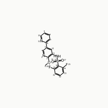 COc1ncc(-c2ccccn2)cc1NS(=O)(=O)c1c(F)cccc1F